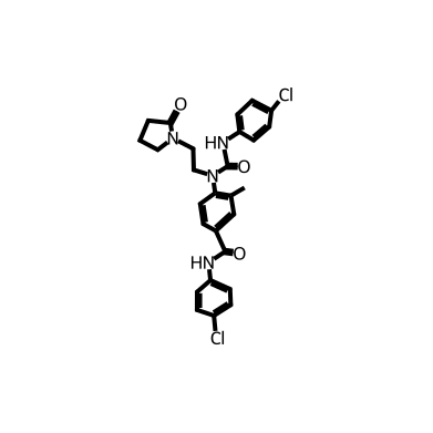 Cc1cc(C(=O)Nc2ccc(Cl)cc2)ccc1N(CCN1CCCC1=O)C(=O)Nc1ccc(Cl)cc1